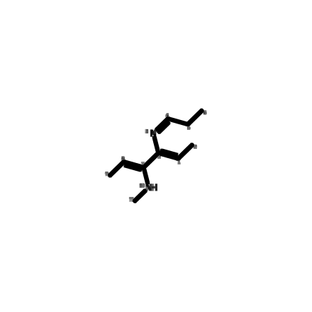 C/C=C(\N=C/CC)C(=C/C)/NC